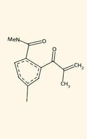 C=C(C)C(=O)c1cc(I)ccc1C(=O)NC